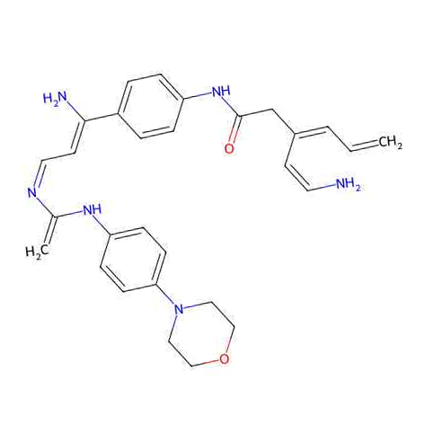 C=C/C=C(\C=C/N)CC(=O)Nc1ccc(/C(N)=C/C=N\C(=C)Nc2ccc(N3CCOCC3)cc2)cc1